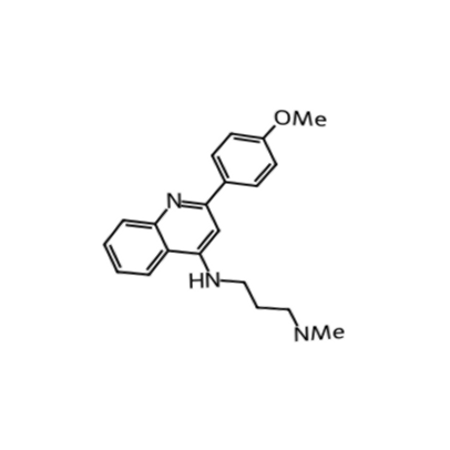 CNCCCNc1cc(-c2ccc(OC)cc2)nc2ccccc12